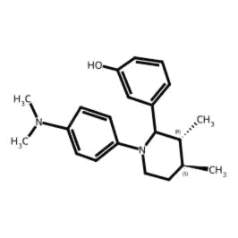 C[C@H]1CCN(c2ccc(N(C)C)cc2)C(c2cccc(O)c2)[C@@H]1C